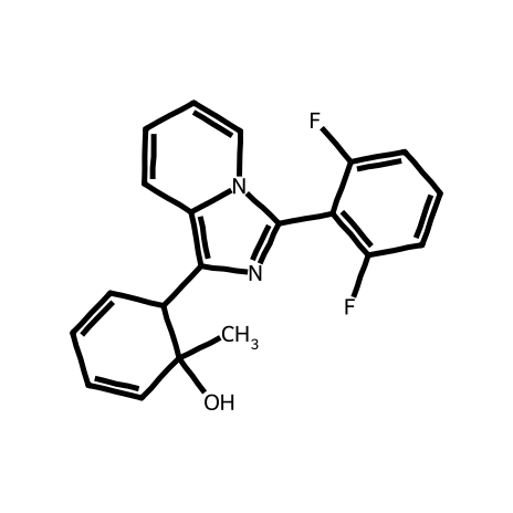 CC1(O)C=CC=CC1c1nc(-c2c(F)cccc2F)n2ccccc12